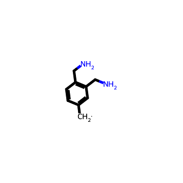 [CH2]c1ccc(CN)c(CN)c1